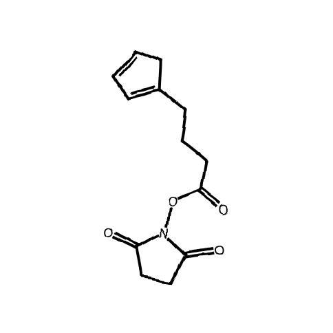 O=C(CCCC1=CC=CC1)ON1C(=O)CCC1=O